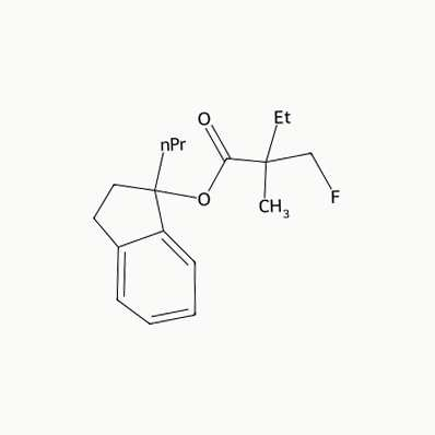 CCCC1(OC(=O)C(C)(CC)CF)CCc2ccccc21